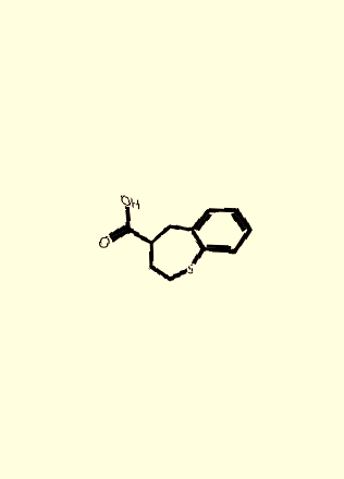 O=C(O)C1CCSc2ccccc2C1